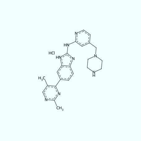 Cc1ncc(C)c(-c2ccc3nc(Nc4cc(CN5CCNCC5)ccn4)[nH]c3c2)n1.Cl